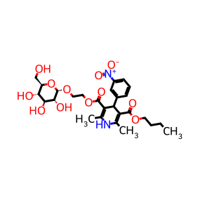 CCCCOC(=O)C1=C(C)NC(C)=C(C(=O)OCCO[C@H]2O[C@H](CO)[C@@H](O)[C@H](O)[C@H]2O)C1c1cccc([N+](=O)[O-])c1